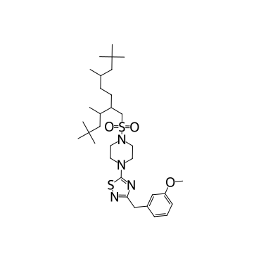 COc1cccc(Cc2nsc(N3CCN(S(=O)(=O)CC(CCC(C)CC(C)(C)C)C(C)CC(C)(C)C)CC3)n2)c1